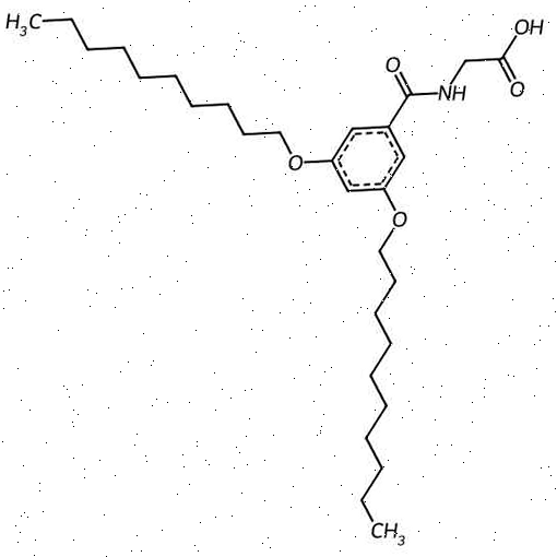 CCCCCCCCCCOc1cc(OCCCCCCCCCC)cc(C(=O)NCC(=O)O)c1